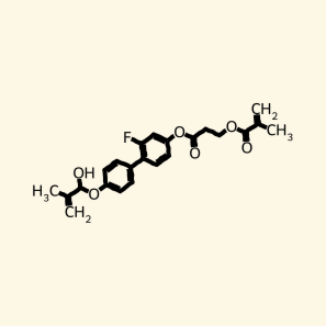 C=C(C)C(=O)OCCC(=O)Oc1ccc(-c2ccc(OC(O)C(=C)C)cc2)c(F)c1